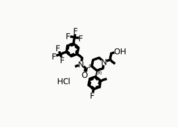 Cc1cc(F)ccc1[C@@H]1CN(C(C)CO)CC[C@H]1C(=O)N(C)Cc1cc(C(F)(F)F)cc(C(F)(F)F)c1.Cl